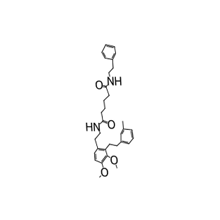 COc1ccc(CCNC(=O)CCCCC(=O)NCCc2ccccc2)c(CCc2cccc(C)c2)c1OC